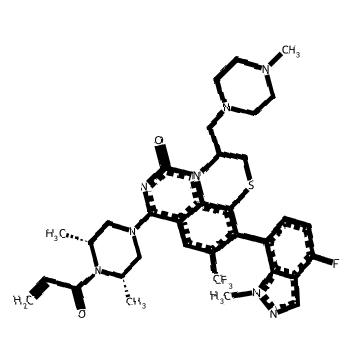 C=CC(=O)N1[C@H](C)CN(c2nc(=O)n3c4c(c(-c5ccc(F)c6cnn(C)c56)c(C(F)(F)F)cc24)SCC3CN2CCN(C)CC2)C[C@@H]1C